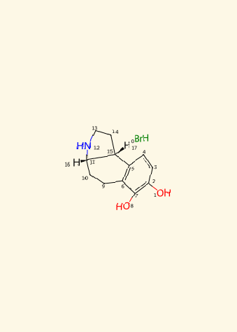 Br.Oc1ccc2c(c1O)CC[C@@H]1NCC[C@H]21